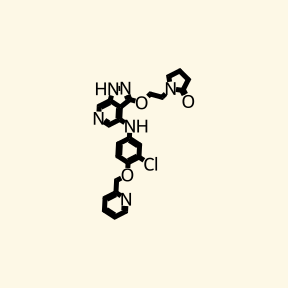 O=C1CCCN1CCOc1n[nH]c2cncc(Nc3ccc(OCc4ccccn4)c(Cl)c3)c12